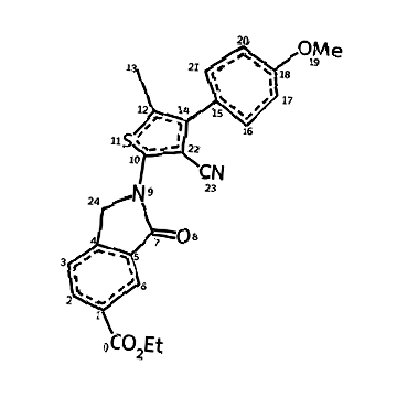 CCOC(=O)c1ccc2c(c1)C(=O)N(c1sc(C)c(-c3ccc(OC)cc3)c1C#N)C2